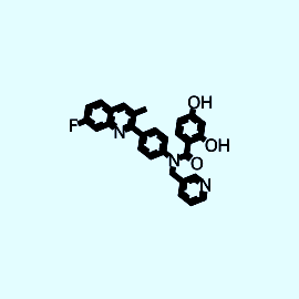 Cc1cc2ccc(F)cc2nc1-c1ccc(N(Cc2cccnc2)C(=O)c2ccc(O)cc2O)cc1